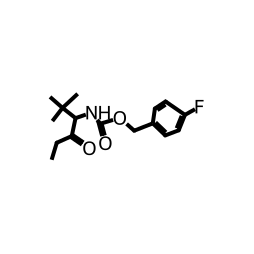 CCC(=O)C(NC(=O)OCc1ccc(F)cc1)C(C)(C)C